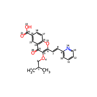 CC(C)COc1c(/C=C/c2ccccn2)oc2ccc(C(=O)O)cc2c1=O